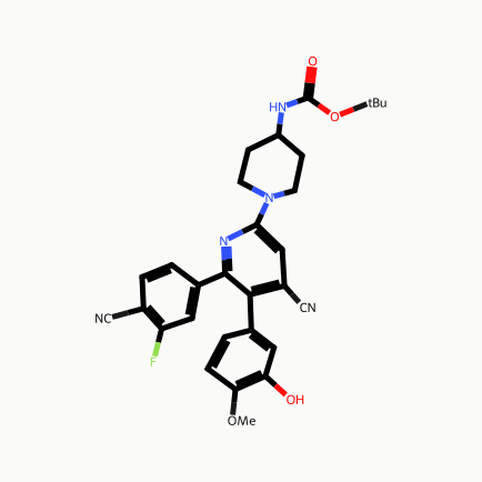 COc1ccc(-c2c(C#N)cc(N3CCC(NC(=O)OC(C)(C)C)CC3)nc2-c2ccc(C#N)c(F)c2)cc1O